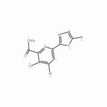 COC(=O)c1nc(-c2ncc(Br)s2)cc(Br)c1Cl